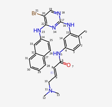 Cc1ccc(NC(=O)/C=C/CN(C)C)cc1Nc1ncc(Br)c(Nc2ccc3ccccc3c2)n1